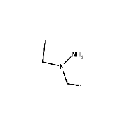 [CH2]CN(N)CC